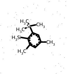 Cc1cc(C)c([SiH3])c([Si](C)(C)C)c1